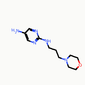 Nc1cnc(NCCCN2CCOCC2)nc1